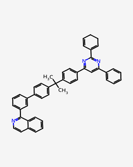 CC(C)(c1ccc(-c2cccc(-c3nccc4ccccc34)c2)cc1)c1ccc(-c2cc(-c3ccccc3)nc(C3=CCCC=C3)n2)cc1